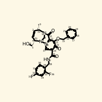 C[C@H]1C=C[C@@H](CO)N2CN1C(=O)c1c(OCc3ccccc3)c(=O)c(C(=O)NCc3ccc(F)cc3F)cn12